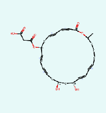 CC1CCC/C=C/C=C/[C@H](O)C[C@@H](O)C/C=C\C=C\[C@@H](OC(=O)CC(=O)O)C/C=C/C=C\C(=O)O1